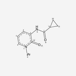 CC(C)n1cccc(NC(=O)C2CC2)c1=O